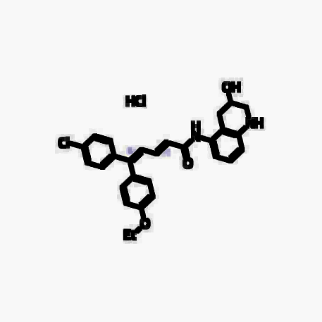 CCOc1ccc(/C(=C\C=C\C(=O)Nc2cccc3c2CC(O)CN3)c2ccc(Cl)cc2)cc1.Cl